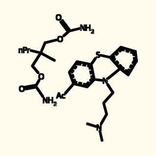 CC(=O)c1ccc2c(c1)N(CCCN(C)C)c1ccccc1S2.CCCC(C)(COC(N)=O)COC(N)=O